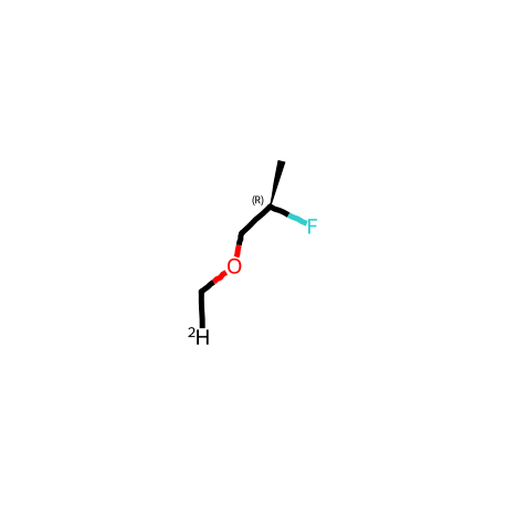 [2H]COC[C@@H](C)F